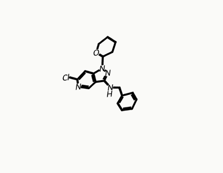 Clc1cc2c(cn1)c(NCc1ccccc1)nn2C1CCCCO1